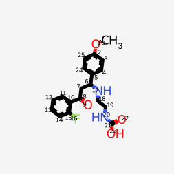 COc1ccc(C(CC(=O)c2ccccc2F)NCCNC(=O)O)cc1